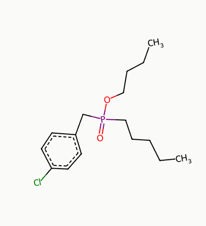 CCCCCP(=O)(Cc1ccc(Cl)cc1)OCCCC